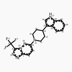 FC(F)(F)c1nnc2ccc(N3CCC(c4c[nH]c5ccccc45)CC3)nn12